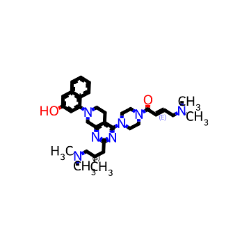 C[C@@H](Cc1nc2c(c(N3CCN(C(=O)/C=C/CN(C)C)CC3)n1)CCN(c1cc(O)cc3ccccc13)C2)CN(C)C